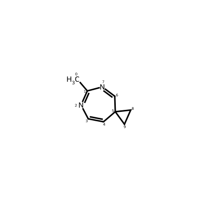 CC1=NC=CC2(C=N1)CC2